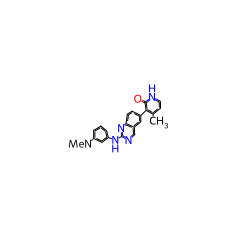 CNc1cccc(Nc2ncc3cc(-c4c(C)cc[nH]c4=O)ccc3n2)c1